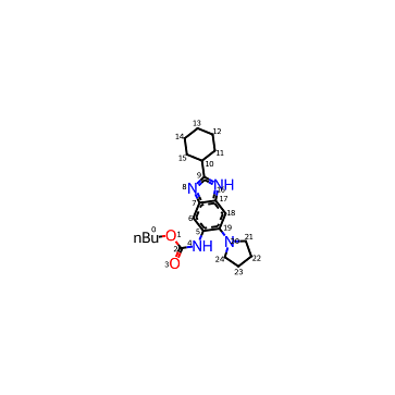 CCCCOC(=O)Nc1cc2nc(C3CCCCC3)[nH]c2cc1N1CCCC1